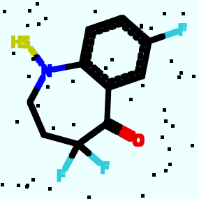 O=C1c2cc(F)ccc2N(S)CCC1(F)F